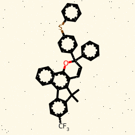 CC1(C)c2cc(C(F)(F)F)ccc2-c2c1c1c(c3ccccc23)OC(c2ccccc2)(c2ccc(Sc3ccccc3)cc2)C=C1